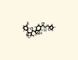 Cc1onc(-c2cccc(F)c2)c1C(=O)c1c[nH]c2cc(C(=O)NCc3ccco3)ccc12